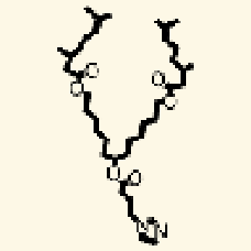 CC(C)=CCCC(C)CC(=O)OCCCCCCC(CCCCCCOC(=O)CC(C)CCC=C(C)C)OC(=O)CCCn1ccnc1